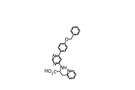 O=C(O)[C@H](Cc1ccccn1)Nc1cc(-c2ccc(OCc3ccccc3)cc2)ncn1